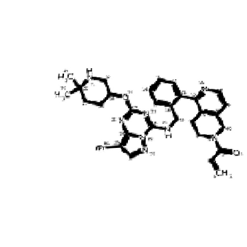 C=CC(=O)N1CCc2c(ccnc2-c2ccccc2CNc2nc(OC3CCC(C)(C)NC3)nc3c(C(C)C)cnn23)C1